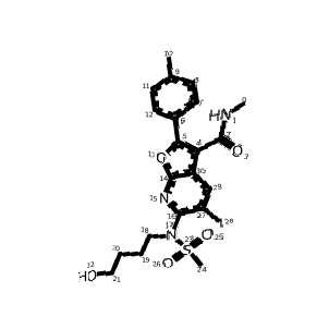 CNC(=O)c1c(-c2ccc(C)cc2)oc2nc(N(CCCCO)S(C)(=O)=O)c(I)cc12